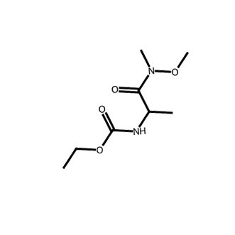 CCOC(=O)NC(C)C(=O)N(C)OC